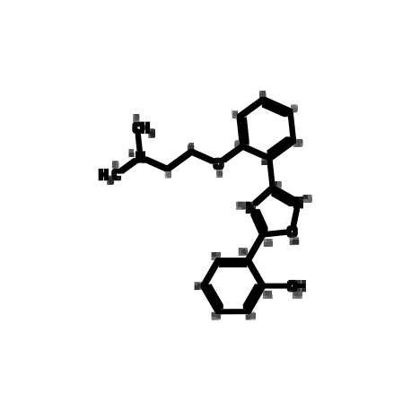 CN(C)CCOc1ccccc1-c1noc(-c2ccccc2O)n1